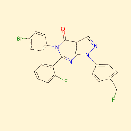 O=c1c2cnn(-c3ccc(CF)cc3)c2nc(-c2ccccc2F)n1-c1ccc(Br)cc1